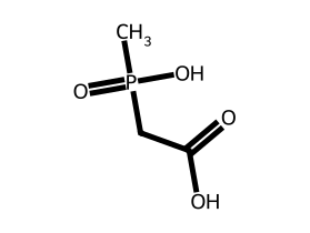 CP(=O)(O)CC(=O)O